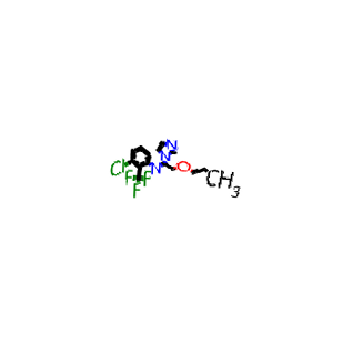 CCCOCC(=Nc1cccc(Cl)c1C(F)(F)F)n1ccnc1